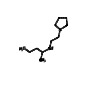 CCCC(C)NCCN1CCCC1